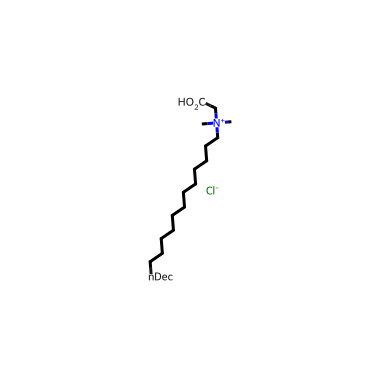 CCCCCCCCCCCCCCCCCCCCCC[N+](C)(C)CC(=O)O.[Cl-]